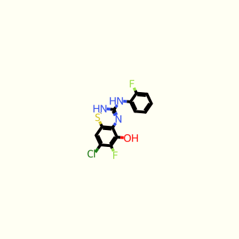 Oc1c(F)c(Cl)cc2c1N=C(Nc1ccccc1F)NS2